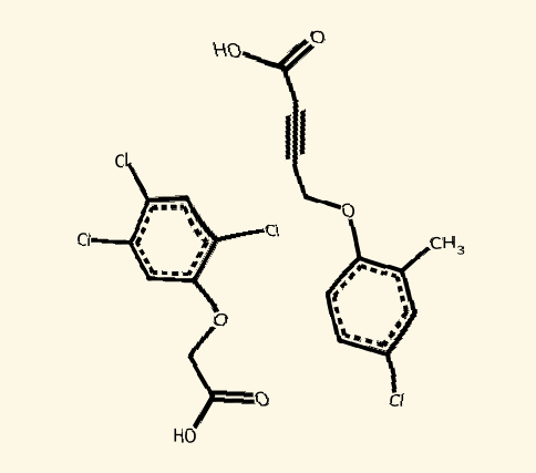 Cc1cc(Cl)ccc1OCC#CC(=O)O.O=C(O)COc1cc(Cl)c(Cl)cc1Cl